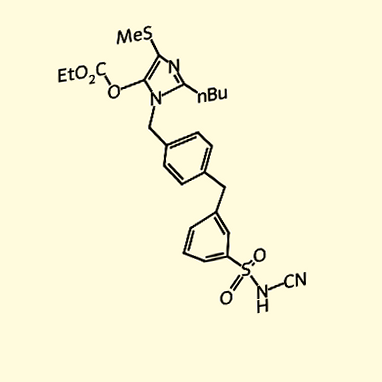 CCCCc1nc(SC)c(OC(=O)OCC)n1Cc1ccc(Cc2cccc(S(=O)(=O)NC#N)c2)cc1